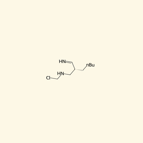 CCCCC[C@@H](C=N)CNCCl